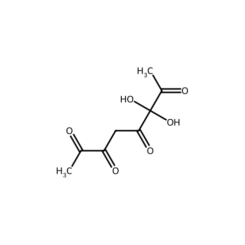 CC(=O)C(=O)CC(=O)C(O)(O)C(C)=O